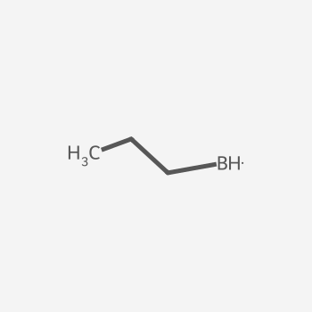 [BH]CCC